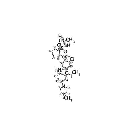 CCOc1cc(N2CCN(C)CC2)ccc1Nc1ncc(Cl)c([AsH]c2ccccc2S(=O)(=O)NC(C)C)n1